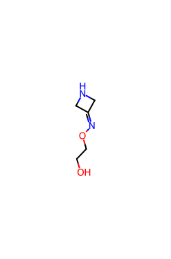 OCCON=C1CNC1